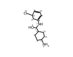 NC1CCC([C@@H](O)NC2=CC=CC(Cl)C2)CC1